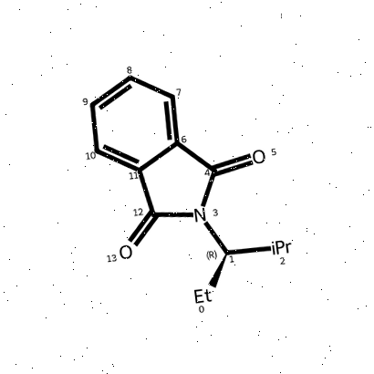 CC[C@H](C(C)C)N1C(=O)c2ccccc2C1=O